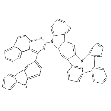 C1=c2c(n3c4c(cccc24)-c2ccccc2-c2ccccc2-3)=CC2c3ccccc3N(c3nc(-c4ccc5sc6ccccc6c5c4)c4c(ccc5ccccc54)n3)C12